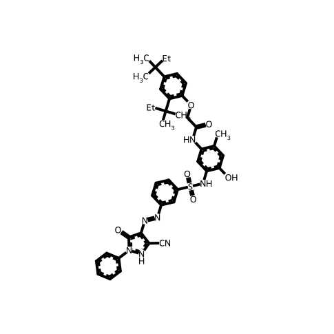 CCC(C)(C)c1ccc(OCC(=O)Nc2cc(NS(=O)(=O)c3cccc(N=Nc4c(C#N)[nH]n(-c5ccccc5)c4=O)c3)c(O)cc2C)c(C(C)(C)CC)c1